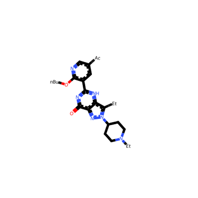 CCCCOc1ncc(C(C)=O)cc1-c1nc(=O)c2nn(C3CCN(CC)CC3)c(CC)c2[nH]1